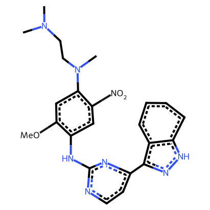 COc1cc(N(C)CCN(C)C)c([N+](=O)[O-])cc1Nc1nccc(-c2n[nH]c3ccccc23)n1